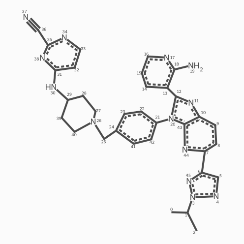 CC(C)n1ncc(-c2ccc3nc(-c4cccnc4N)n(-c4ccc(CN5CCC(Nc6ccnc(C#N)n6)CC5)cc4)c3n2)n1